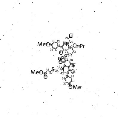 CCCOc1ccc(F)c2c(=O)c(-c3ccc(OC)cc3)cn(CCCl)c12.CCCOc1ccc(F)c2c(=O)c(-c3ccc(OC)cc3)cn(CCSCCC(=O)OC)c12